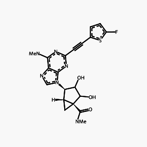 CNC(=O)[C@@]12C[C@@H]1[C@@H](n1cnc3c(NC)nc(C#Cc4ccc(F)s4)nc31)C(O)C2O